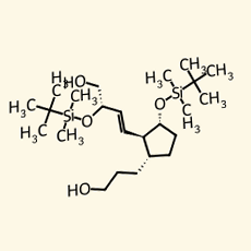 CC(C)(C)[Si](C)(C)O[C@@H](C=C[C@@H]1[C@@H](CCCO)CC[C@H]1O[Si](C)(C)C(C)(C)C)CO